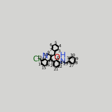 O=C(c1ccccc1)c1cnc2c(Cl)cccc2c1-c1cccc(NCc2cc[c]cc2)c1